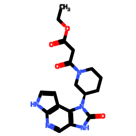 CCOC(=O)CC(=O)N1CCC[C@@H](n2c(=O)[nH]c3cnc4[nH]ccc4c32)C1